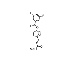 COC(=O)/C=C/C12CCC(OC(=O)c3cc(F)cc(F)c3)(CC1)C2